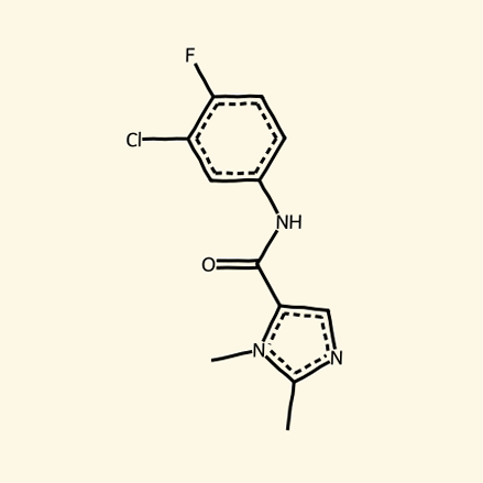 Cc1ncc(C(=O)Nc2ccc(F)c(Cl)c2)n1C